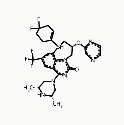 C[C@@H]1CN(c2nc(=O)n3c4c(cc(C(F)(F)F)cc24)[SH](C2=CCC(F)(F)CC2)C[C@@H](Oc2cnccn2)C3)C[C@H](C)N1